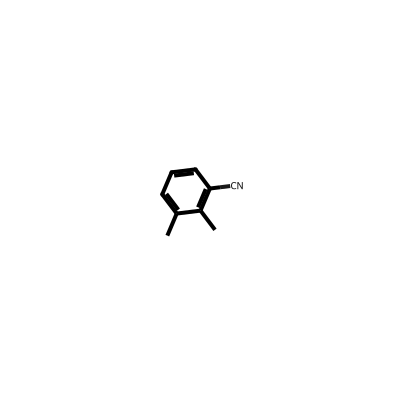 Cc1cccc(C#N)c1C